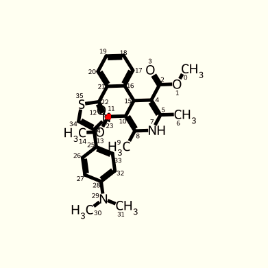 COC(=O)C1=C(C)NC(C)=C(C(=O)OC)C1c1ccccc1-c1nc(-c2ccc(N(C)C)cc2)cs1